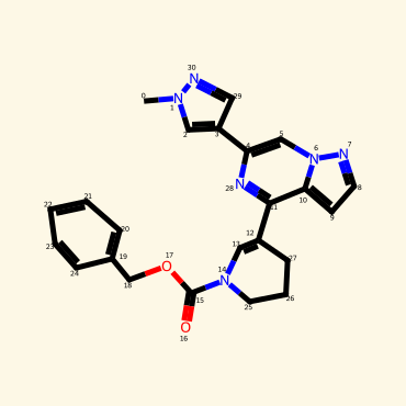 Cn1cc(-c2cn3nccc3c(C3=CN(C(=O)OCc4ccccc4)CCC3)n2)cn1